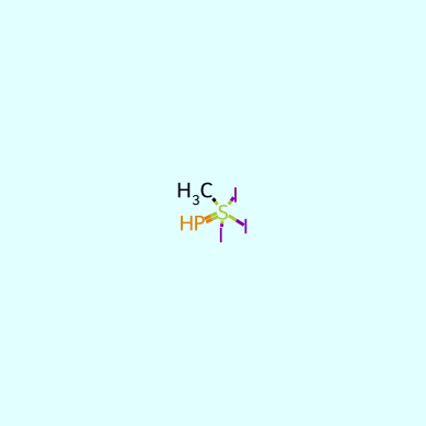 CS(=P)(I)(I)I